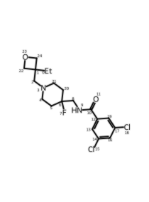 CCC1(CN2CCC(F)(CNC(=O)c3cc(Cl)cc(Cl)c3)CC2)COC1